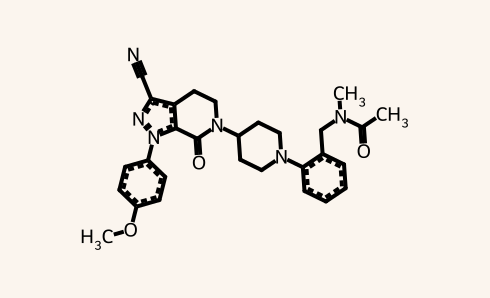 COc1ccc(-n2nc(C#N)c3c2C(=O)N(C2CCN(c4ccccc4CN(C)C(C)=O)CC2)CC3)cc1